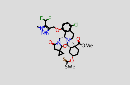 COC(=O)[C@@]1(C)CC[C@@H](OC(=S)SC)C[C@H]1C(=O)N1CCc2c(Cl)ccc(OCc3nnn(C)c3C(F)F)c2[C@H]1CN1CC2(CC2)CC1=O